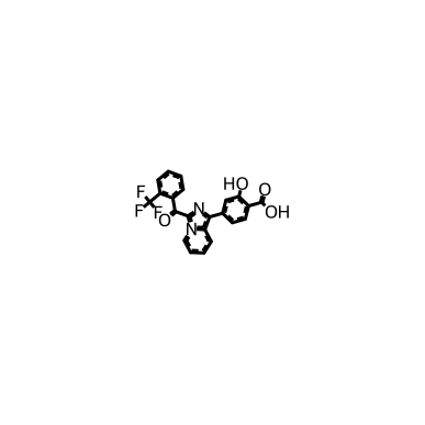 O=C(O)c1ccc(-c2nc(C(=O)c3ccccc3C(F)(F)F)n3ccccc23)cc1O